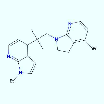 CCn1ccc2c(C(C)(C)CN3CCc4c(C(C)C)ccnc43)ccnc21